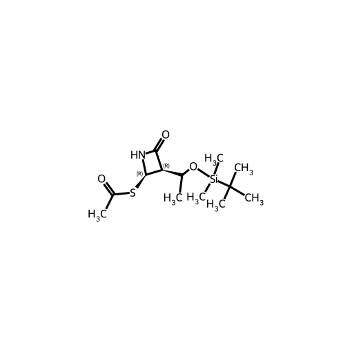 CC(=O)S[C@H]1NC(=O)[C@H]1C(C)O[Si](C)(C)C(C)(C)C